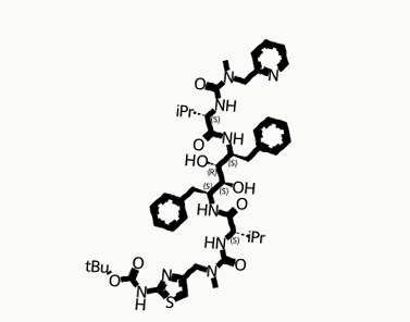 CC(C)[C@H](NC(=O)N(C)Cc1csc(NC(=O)OC(C)(C)C)n1)C(=O)N[C@@H](Cc1ccccc1)[C@H](O)[C@H](O)[C@H](Cc1ccccc1)NC(=O)[C@@H](NC(=O)N(C)Cc1ccccn1)C(C)C